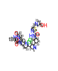 COc1nc(-c2ccnc(-c3cccc(NC(=O)c4ncc(CN5CC[C@H](O)C5)s4)c3Cl)c2Cl)ccc1CN(C[C@@H]1CCC(=O)N1)C(=O)OC(C)(C)C